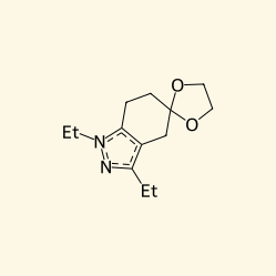 CCc1nn(CC)c2c1CC1(CC2)OCCO1